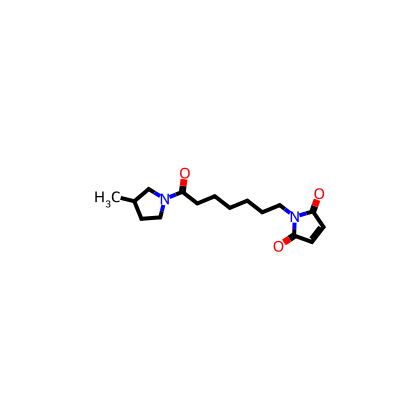 CC1CCN(C(=O)CCCCCCN2C(=O)C=CC2=O)C1